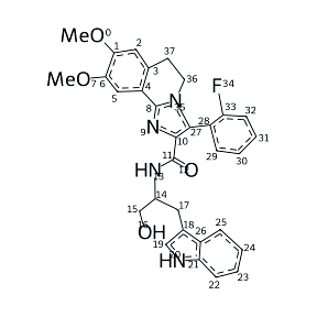 COc1cc2c(cc1OC)-c1nc(C(=O)NC(CO)Cc3c[nH]c4ccccc34)c(-c3ccccc3F)n1CC2